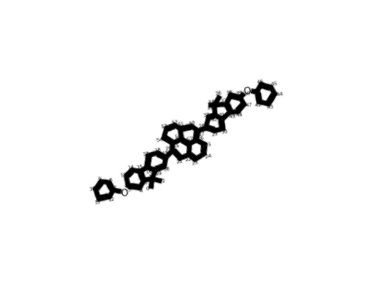 CC1(C)c2cc(Oc3ccccc3)ccc2-c2ccc(-c3cc4cccc5c(-c6ccc7c(c6)C(C)(C)c6cc(Oc8ccccc8)ccc6-7)cc6cccc3c6c45)cc21